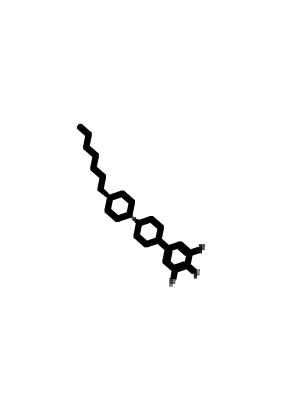 CCCCCCC[C@H]1CC[C@H](C2CCC(c3cc(F)c(F)c(F)c3)CC2)CC1